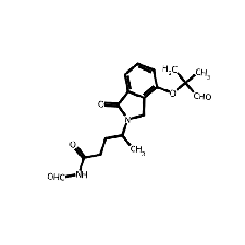 CC(CCC(=O)NC=O)N1Cc2c(OC(C)(C)C=O)cccc2C1=O